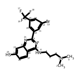 CN(C)CCCNc1nc(-c2cc(Br)cc(C(F)(F)F)c2)nc2cc(S)ccc12